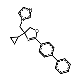 c1ccc(-c2ccc(C3=NC(Cn4ccnc4)(C4CC4)CO3)cc2)cc1